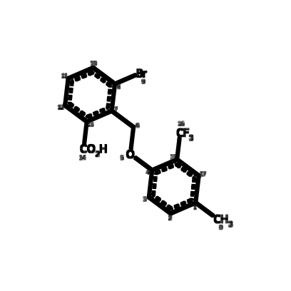 Cc1ccc(OCc2c(Br)cccc2C(=O)O)c(C(F)(F)F)c1